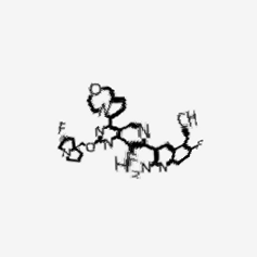 C#Cc1c(F)ccc2nc(N)c(-c3ncc4c(-c5ccc6n5CCOC6)nc(OC[C@@]56CCCN5C[C@H](F)C6)nc4c3F)cc12